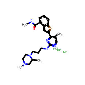 CNC(=O)c1cccc2sc(-c3nc(NCCCN4CCN(C)CC4C)ncc3C)cc12.Cl.Cl.Cl